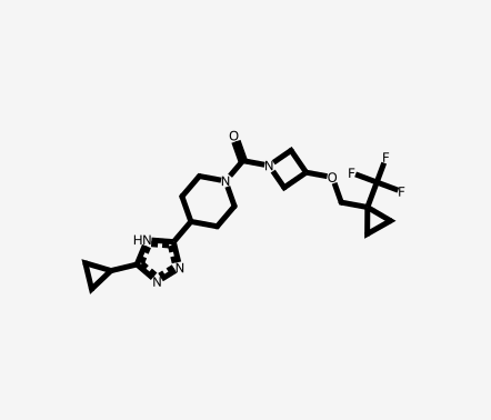 O=C(N1CCC(c2nnc(C3CC3)[nH]2)CC1)N1CC(OCC2(C(F)(F)F)CC2)C1